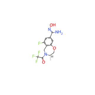 C[C@H]1COc2cc(C(N)=NO)cc(F)c2CN1C(=O)C(F)(F)F